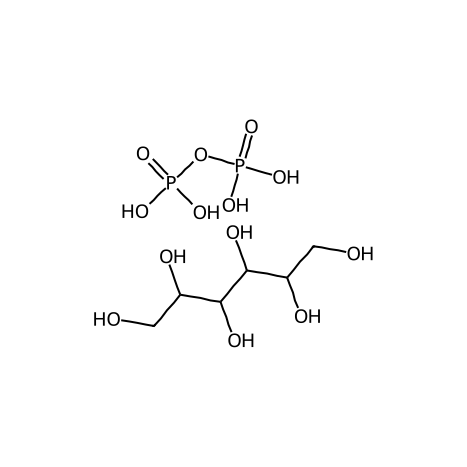 O=P(O)(O)OP(=O)(O)O.OCC(O)C(O)C(O)C(O)CO